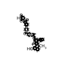 CCc1cccc2cc(O)cc(-c3ncc4c(N5CC6CCC(C5)N6)nc(OCC5(CN6CCC(C(=O)N7CCN(c8ccc9c(c8)CN([C@H]8CCC(=O)NC8=O)C9=O)CC7)CC6)CC5)nc4c3F)c12